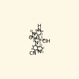 C[C@@H]1CN(c2ccc(C#N)c3ncccc23)C[C@H](C(=O)N(C)C2CCCNC2)O1.Cl